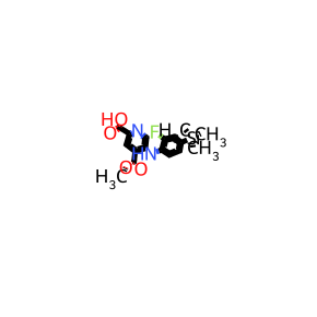 COC(=O)c1cc(C(=O)O)ncc1Nc1ccc([Si](C)(C)C)cc1F